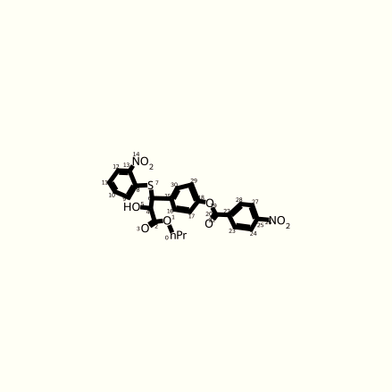 CCCOC(=O)C(O)C(Sc1ccccc1[N+](=O)[O-])c1ccc(OC(=O)c2ccc([N+](=O)[O-])cc2)cc1